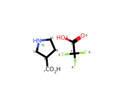 O=C(O)C(F)(F)F.O=C(O)C1CCNC1